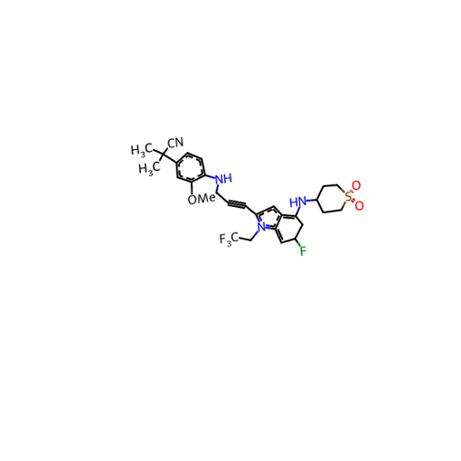 COc1cc(C(C)(C)C#N)ccc1NCC#Cc1cc2c(n1CC(F)(F)F)=CC(F)CC=2NC1CCS(=O)(=O)CC1